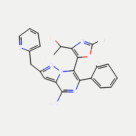 Cc1nc(C(C)O)c(-c2c(-c3ccccc3C#N)nc(N)c3cc(Cc4ccccn4)nn23)o1